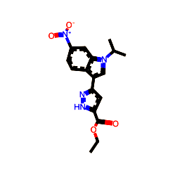 CCOC(=O)c1cc(-c2cn(C(C)C)c3cc([N+](=O)[O-])ccc23)n[nH]1